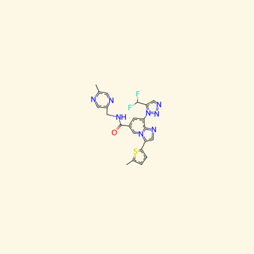 Cc1cnc(CNC(=O)c2cc(-n3nncc3C(F)F)c3ncc(-c4ccc(C)s4)n3c2)cn1